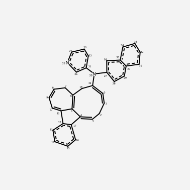 C1=CC/C=C2\C3=C(CC=CC=C3c3ccccc32)CC=1N(c1cccnc1)c1ccc2ccccc2c1